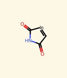 O=C1[CH]=[In][C](=O)N1